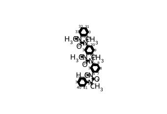 CN(C(=O)N(C)c1cccc(N(C)C(=O)N(C)c2cccc(N(C)C(=O)N(C)c3ccccc3)c2)c1)c1ccccc1